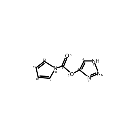 O=C(Oc1c[nH]nn1)n1cccc1